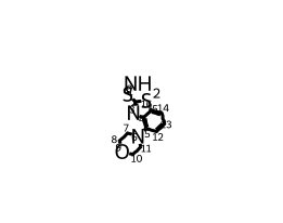 NSc1nc2c(N3CCOCC3)cccc2s1